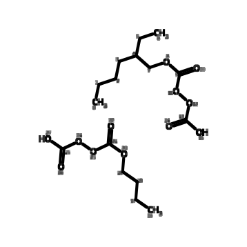 CCCCC(CC)COC(=O)OOC(=O)O.CCCCOC(=O)OOC(=O)O